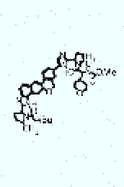 CCC(C)CC(=O)N1C(c2nc3ccc4cc5c(cc4c3[nH]2)OCc2cc(-c3cnc(C4CC[C@H](C)N4C(=O)C(NC(=O)OC)C4CCOCC4)[nH]3)ccc2-5)CC[C@@H]1C